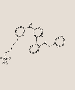 NS(=O)(=O)CCCCc1cccc(Nc2cc(-c3ccccc3OCc3ccccc3)ncn2)c1